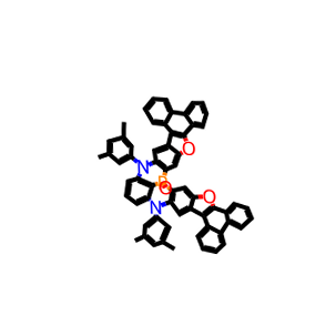 Cc1cc(C)cc(N2c3cc4c(cc3P3(=O)c5cc6oc7c8ccccc8c8ccccc8c7c6cc5N(c5cc(C)cc(C)c5)c5cccc2c53)oc2c3ccccc3c3ccccc3c42)c1